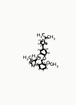 COc1cccc(-n2nnn(C)c2=O)c1COc1ccc(-c2ccn(C(C)C)n2)cc1C